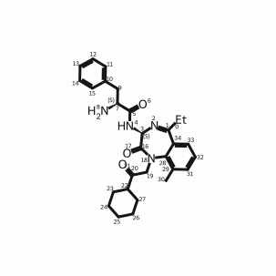 CCC1=N[C@H](NC(=O)[C@@H](N)Cc2ccccc2)C(=O)N(CC(=O)C2CCCCC2)c2c(C)cccc21